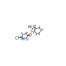 Cc1ccccc1COc1ccc(Cl)nc1